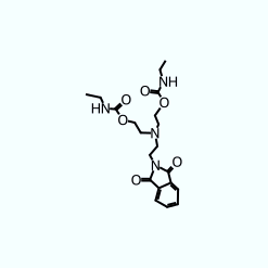 CCNC(=O)OCCN(CCOC(=O)NCC)CCN1C(=O)c2ccccc2C1=O